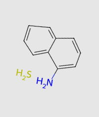 Nc1cccc2ccccc12.S